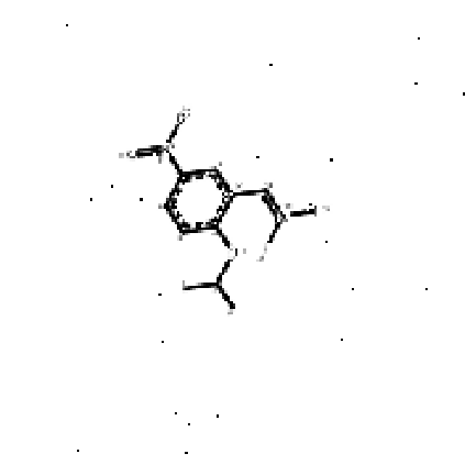 CC(C)Oc1ccc([N+](=O)[O-])cc1[CH]=[Ru]([I])[I]